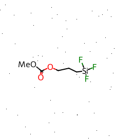 COC(=O)OCCC[Si](F)(F)F